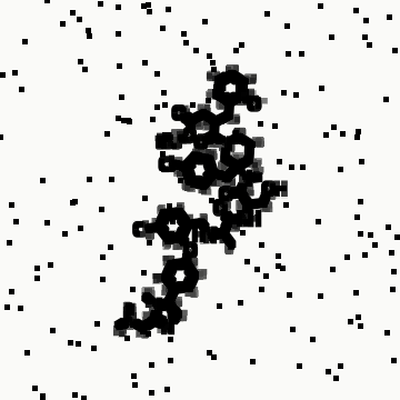 CC(NCc1ccc(Cl)cc1Oc1ccc(-c2cnc(CN(C)C)n2C)cc1)C(=O)NC(CO)C(=O)N(C)C1(Cc2ccc(Cl)cc2)CCCN(C(=O)C(CC(=O)OC(C)(C)C)Cc2cccc[n+]2[O-])C1